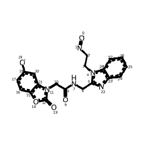 O=NCCn1c(CNC(=O)Cn2c(=O)oc3ccc(Cl)cc32)nc2ccccc21